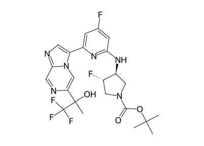 CC(C)(C)OC(=O)N1C[C@H](Nc2cc(F)cc(-c3cnc4cnc(C(C)(O)C(F)(F)F)cn34)n2)[C@@H](F)C1